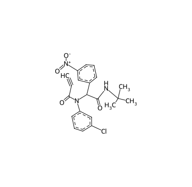 C#CC(=O)N(c1cccc(Cl)c1)C(C(=O)NC(C)(C)C)c1cccc([N+](=O)[O-])c1